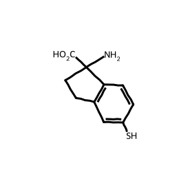 NC1(C(=O)O)CCc2cc(S)ccc21